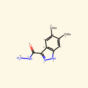 COc1cc2[nH]nc(C(=O)NN)c2cc1OC